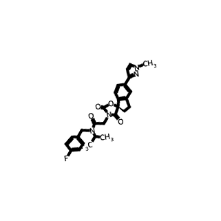 CC(N(Cc1ccc(F)cc1)C(=O)CN1C(=O)O[C@@]2(CCc3cc(-c4ccn(C)n4)ccc32)C1=O)C(F)(F)F